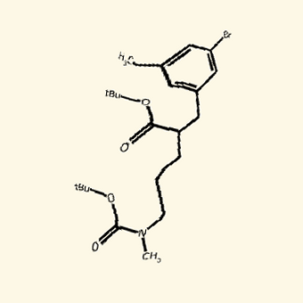 Cc1cc(Br)cc(CC(CCCN(C)C(=O)OC(C)(C)C)C(=O)OC(C)(C)C)c1